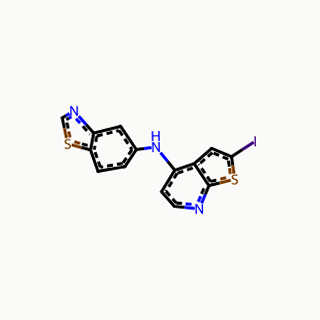 Ic1cc2c(Nc3ccc4scnc4c3)ccnc2s1